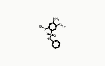 CCOc1cc(S(=O)(=O)Nc2ccccc2)c(OCC)cc1N